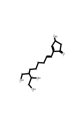 O=C1CC(O)C=C1C=CCCCCC(CO)C(O)CO